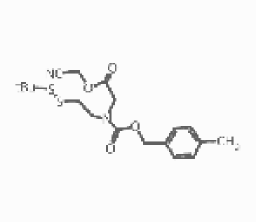 Cc1ccc(COC(=O)N(CCSSC(C)(C)C)CC(=O)OCC#N)cc1